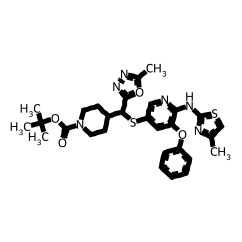 Cc1csc(Nc2ncc(SC(c3nnc(C)o3)C3CCN(C(=O)OC(C)(C)C)CC3)cc2Oc2ccccc2)n1